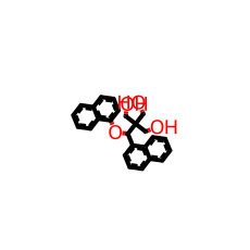 OCC(CO)(CO)C(Oc1cccc2ccccc12)c1cccc2ccccc12